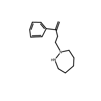 C=C(CCN1CCCCCN1)c1ccccc1